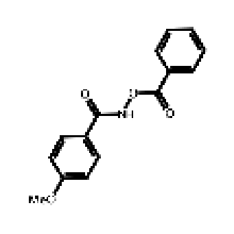 COc1ccc(C(=O)NOC(=O)c2ccccc2)cc1